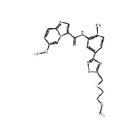 COCCOCc1nc(-c2ccc(C)c(NC(=O)c3cnc4ccc(OC)cn34)c2)no1